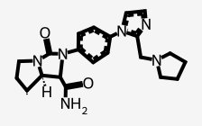 NC(=O)C1[C@H]2[CH]CCN2C(=O)N1c1ccc(-n2ccnc2CN2CCCC2)cc1